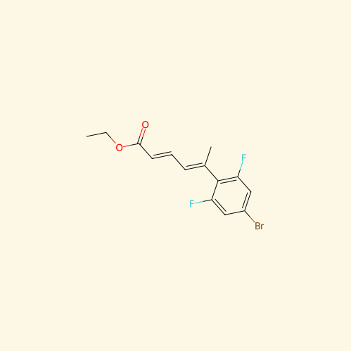 CCOC(=O)C=CC=C(C)c1c(F)cc(Br)cc1F